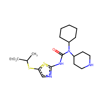 CCOC(=O)C(C)Sc1cnc(NC(=O)N(C2CCCCC2)C2CCNCC2)s1